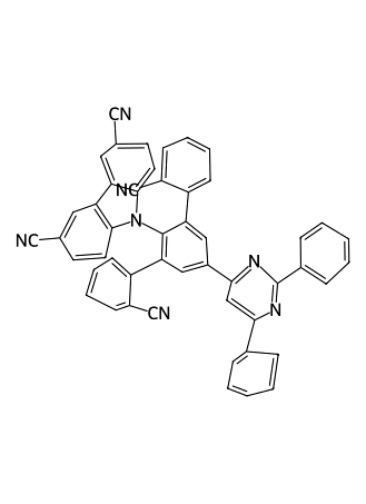 N#Cc1ccc2c(c1)c1cc(C#N)ccc1n2-c1c(-c2ccccc2C#N)cc(-c2cc(-c3ccccc3)nc(-c3ccccc3)n2)cc1-c1ccccc1C#N